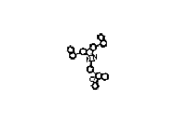 c1cc(-c2cnc3c4cc(-c5cccc6ccccc56)ccc4c4ccc(-c5cccc6ccccc56)cc4c3n2)cc(-c2cc3ccccc3c3c2oc2ccccc23)c1